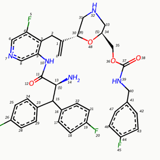 C=C(Cc1c(F)cncc1NC(=O)[C@@H](N)C(c1ccc(F)cc1)c1ccc(F)cc1)[C@@H]1CNC[C@@H](COC(=O)NCc2ccc(F)cc2)O1